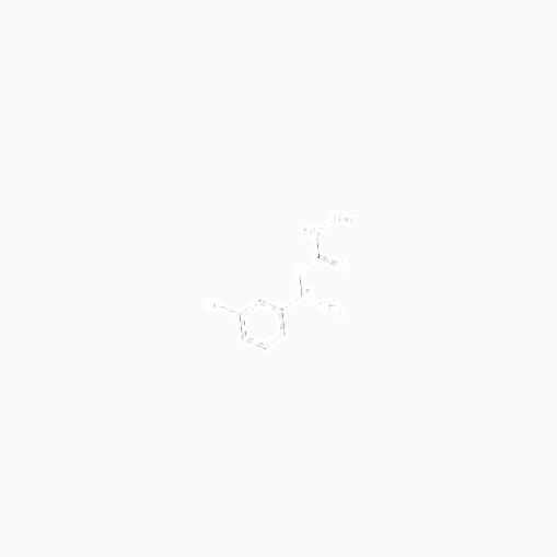 C[C@@H](OC(=O)NC(C)(C)C)c1cccc(Br)c1